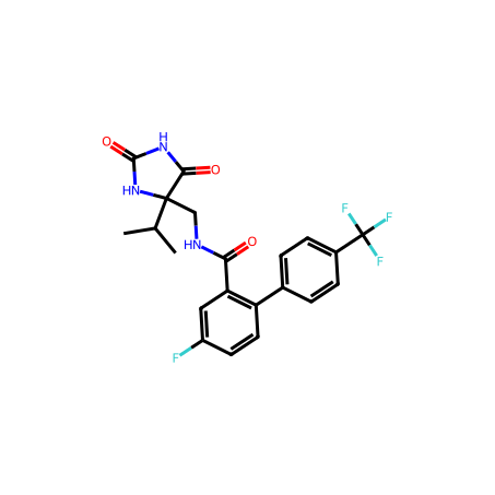 CC(C)C1(CNC(=O)c2cc(F)ccc2-c2ccc(C(F)(F)F)cc2)NC(=O)NC1=O